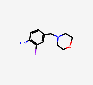 Nc1ccc(CN2CCOCC2)cc1I